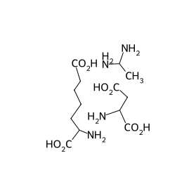 CC(N)N.NC(CC(=O)O)C(=O)O.NC(CCCCC(=O)O)C(=O)O